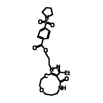 CCc1nn(CCCOC(=O)c2ccc(S(=O)(=O)N3CCCC3)cc2)c2c1C(=O)NCCCOCCC2